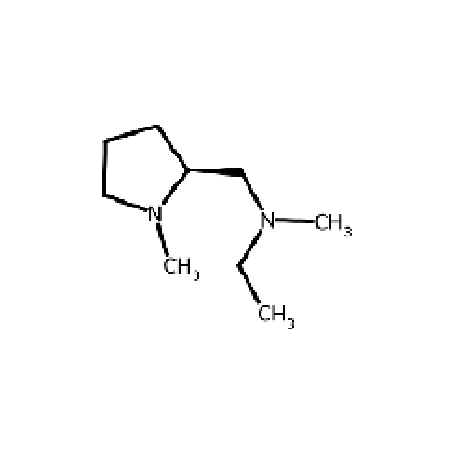 CCN(C)C[C@@H]1CCCN1C